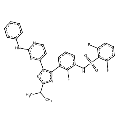 CC(C)c1nc(-c2cccc(NS(=O)(=O)c3c(F)cccc3F)c2F)c(-c2ccnc(Nc3ccccc3)n2)s1